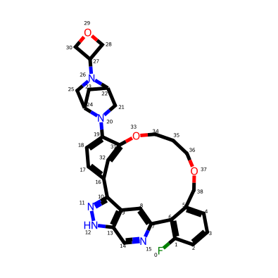 Fc1cccc2c1-c1cc3c(n[nH]c3cn1)-c1ccc(N3CC4CC3CN4C3COC3)c(c1)OCCCOC2